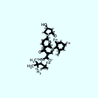 CC(C)(C)[C@H](NC(=O)c1cn(-c2c(F)cc(F)cc2F)c2nc(N3C[C@@H](O)CC3=O)ccc2c1=O)C(F)(F)F